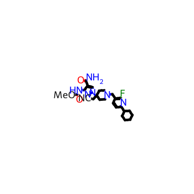 COC(=O)Nc1nn(C2(CC#N)CCN(Cc3ccc(C4CCCCC4)nc3F)CC2)cc1C(N)=O